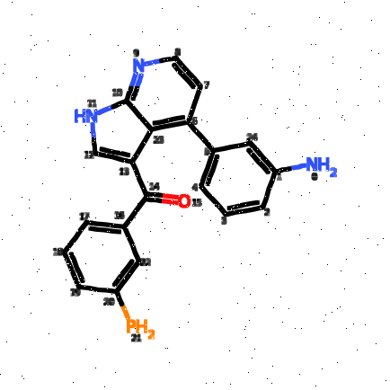 Nc1cccc(-c2ccnc3[nH]cc(C(=O)c4cccc(P)c4)c23)c1